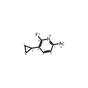 CC(=O)c1ccc(C2CC2)c(F)n1